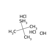 CC(C)(C)[SiH3].Cl.Cl.Cl